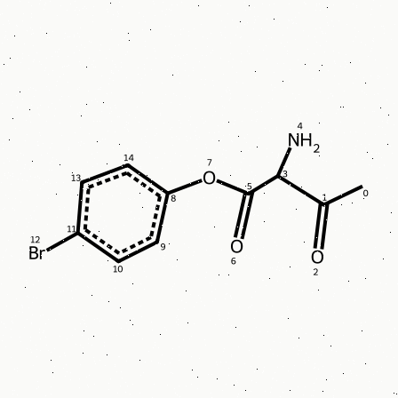 CC(=O)C(N)C(=O)Oc1ccc(Br)cc1